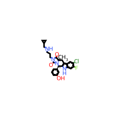 C[C@@]12Cc3c([nH]c4cc(F)c(Cl)cc34)[C@@H](c3cccc(O)c3)N1C(=O)N(CCCNCC1CC1)C2=O